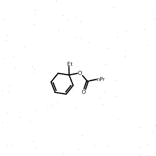 CCCC(=O)OC1(CC)C=CC=CC1